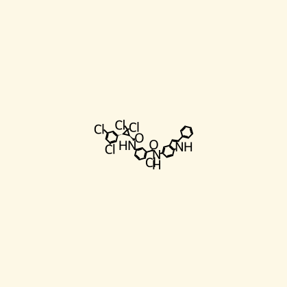 O=C(Nc1ccc2[nH]c(-c3ccccc3)cc2c1)c1cc(NC(=O)[C@H]2[C@H](c3cc(Cl)cc(Cl)c3)C2(Cl)Cl)ccc1Cl